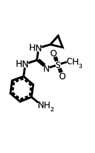 CS(=O)(=O)N=C(Nc1cccc(N)c1)NC1CC1